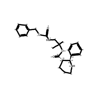 CC(C)(CNC(=O)OCc1ccccc1)OC(=O)[C@H]1CCCN[C@@H]1c1ccccc1